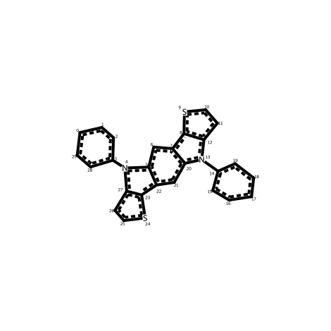 c1ccc(-n2c3cc4c5sccc5n(-c5ccccc5)c4cc3c3sccc32)cc1